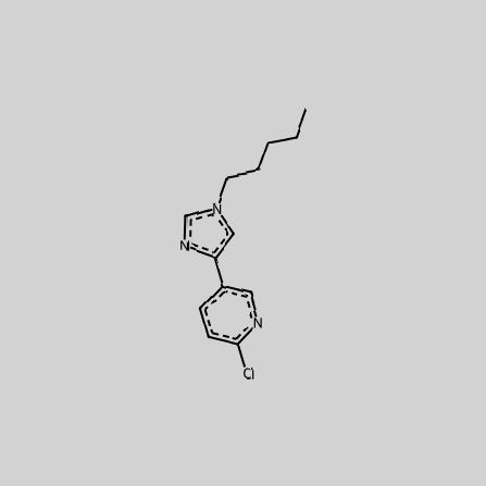 CCCCCn1cnc(-c2ccc(Cl)nc2)c1